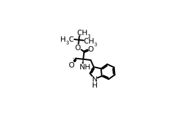 CC(C)(C)OC(=O)[C@@](N)([C]=O)Cc1c[nH]c2ccccc12